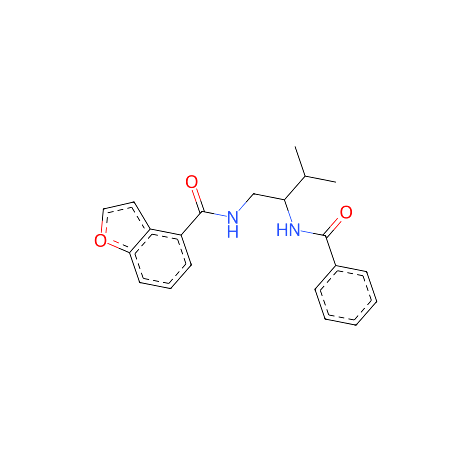 CC(C)C(CNC(=O)c1cccc2occc12)NC(=O)c1ccccc1